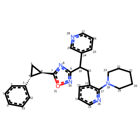 c1ccc([C@@H]2C[C@H]2c2nc(C(Cc3cccnc3N3CCCCC3)c3cccnc3)no2)cc1